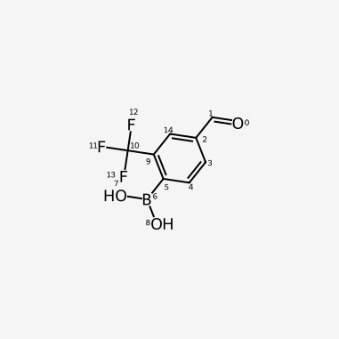 O=Cc1ccc(B(O)O)c(C(F)(F)F)c1